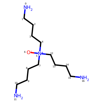 NCCCC[N+]([O-])(CCCCN)CCCCN